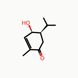 CC1=C[C@@H](O)[C@@H](C(C)C)CC1=O